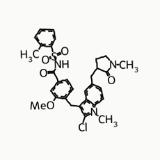 COc1cc(C(=O)NS(=O)(=O)c2ccccc2C)ccc1Cc1c(Cl)n(C)c2ccc(CC3CCN(C)C3=O)cc12